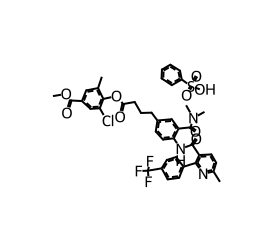 COC(=O)c1cc(C)c(OC(=O)CCCc2ccc(NC(=O)c3ccc(C)nc3-c3ccc(C(F)(F)F)cc3)c(C(=O)N(C)C)c2)c(Cl)c1.O=S(=O)(O)c1ccccc1